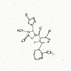 Cc1ccccc1-c1ccc(F)c(C(=O)N2CC(=O)N(O)C2c2cc(Br)cs2)c1F